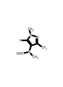 CN([C]=O)c1c(C(F)(F)F)nn(C)c1F